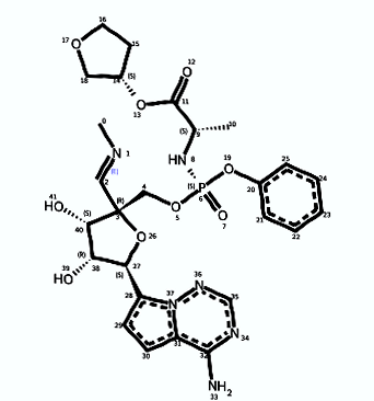 C/N=C/[C@]1(CO[P@@](=O)(N[C@@H](C)C(=O)O[C@H]2CCOC2)Oc2ccccc2)O[C@@H](c2ccc3c(N)ncnn23)[C@H](O)[C@@H]1O